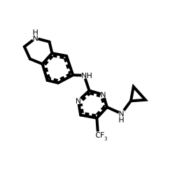 FC(F)(F)c1cnc(Nc2ccc3c(c2)CNCC3)nc1NC1CC1